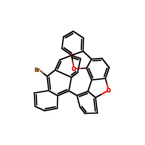 Brc1c2ccccc2c(-c2cccc3oc4ccc5c6ccccc6oc5c4c23)c2ccccc12